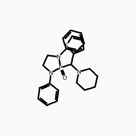 O=P1(C(c2cccs2)N2CCCCC2)N(c2ccccc2)CCN1c1ccccc1